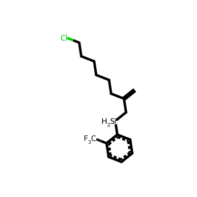 C=C(CCCCCCCl)C[SiH2]c1ccccc1C(F)(F)F